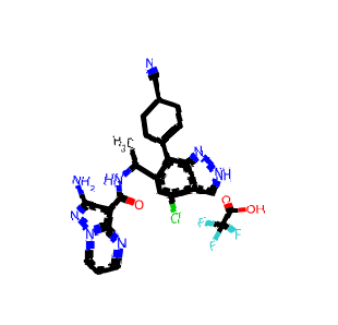 CC(NC(=O)c1c(N)nn2cccnc12)c1cc(Cl)c2c[nH]nc2c1C1=CCC(C#N)CC1.O=C(O)C(F)(F)F